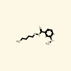 [CH2]CCCCOOC(=O)c1cccc(OC)c1